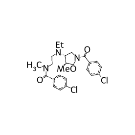 CCN(CCN(C)C(=O)c1ccc(Cl)cc1)[C@@H]1CN(C(=O)c2ccc(Cl)cc2)C[C@H]1OC